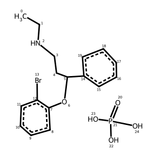 CCNCCC(Oc1ccccc1Br)c1ccccc1.O=P(O)(O)O